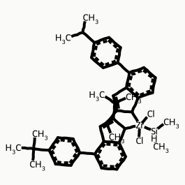 CCC1=Cc2c(-c3ccc(C(C)C)cc3)cccc2[CH]1[Zr]([Cl])([Cl])([CH]1C(C(C)C)=Cc2c(-c3ccc(C(C)(C)C)cc3)cccc21)[SiH](C)C